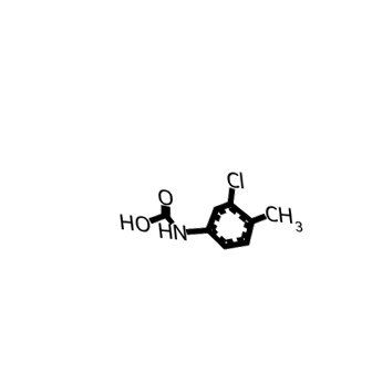 Cc1ccc(NC(=O)O)cc1Cl